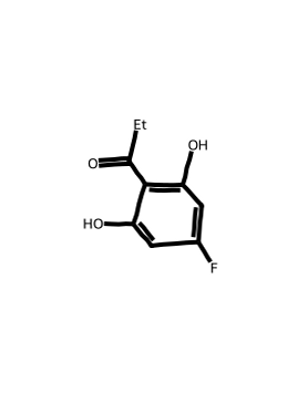 CCC(=O)c1c(O)cc(F)cc1O